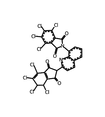 O=C1C2=C(C(=O)C1c1ccc3cccc(N4C(=O)c5c(Cl)c(Cl)c(Cl)c(Cl)c5C4=O)c3n1)C(Cl)C(Cl)C(Cl)=C2Cl